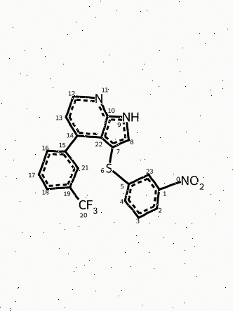 O=[N+]([O-])c1cccc(Sc2c[nH]c3nccc(-c4cccc(C(F)(F)F)c4)c23)c1